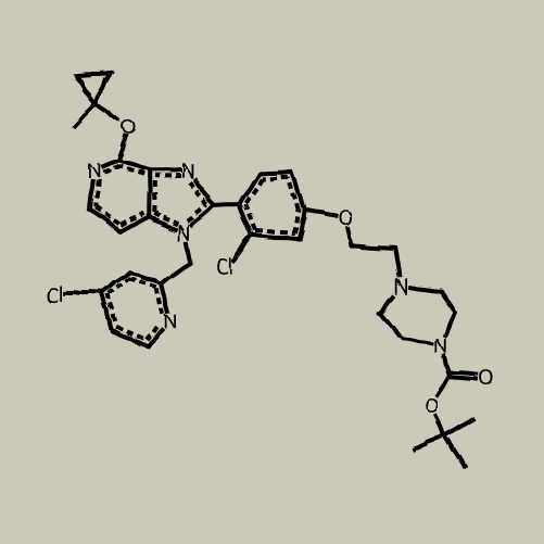 CC(C)(C)OC(=O)N1CCN(CCOc2ccc(-c3nc4c(OC5(C)CC5)nccc4n3Cc3cc(Cl)ccn3)c(Cl)c2)CC1